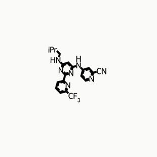 CC(C)CNc1cc(Nc2ccnc(C#N)c2)nc(-c2cccc(C(F)(F)F)n2)n1